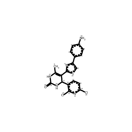 CC1=C(c2nc(-c3ccc(N)cc3)cs2)C(c2ccc(Cl)nc2Cl)NC(=O)N1